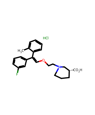 Cc1ccccc1/C(=C\OCCN1CCC[C@@H](C(=O)O)C1)c1cccc(F)c1.Cl